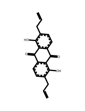 C=CCc1ccc2c(c1O)C(=O)c1ccc(CC=C)c(O)c1C2=O